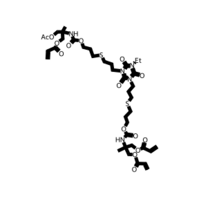 C=CC(=O)OCC(C)(COC(C)=O)NC(=O)OCCCSCCCn1c(=O)n(CC)c(=O)n(CCCSCCCOC(=O)NC(C)(COC(=O)C=C)COC(=O)C=C)c1=O